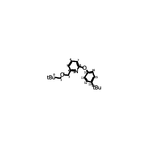 CC(C)(C)COCc1cccc(Oc2ccc(C(C)(C)C)cc2)n1